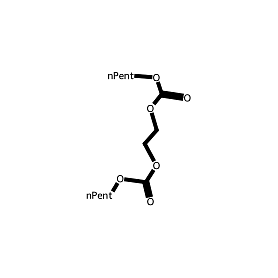 CCCCCOC(=O)OCCOC(=O)OCCCCC